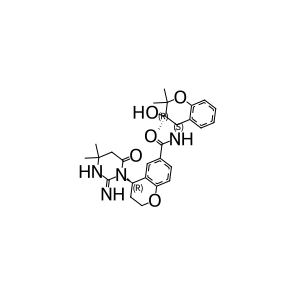 CC1(C)CC(=O)N([C@@H]2CCOc3ccc(C(=O)N[C@H]4c5ccccc5OC(C)(C)[C@]4(C)O)cc32)C(=N)N1